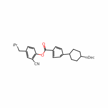 CCCCCCCCCCC1CCC(c2ccc(C(=O)Oc3ccc(CC(C)C)cc3C#N)cc2)CC1